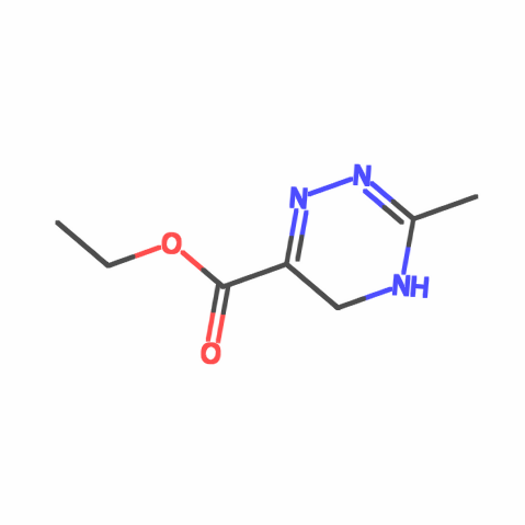 CCOC(=O)C1=NN=C(C)NC1